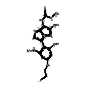 COc1cc(OCCF)cc(OC)c1-c1csc2c(NC(=O)OC(C)(C)C)c(OC)nn12